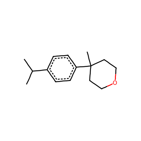 CC(C)c1ccc(C2(C)CCOCC2)cc1